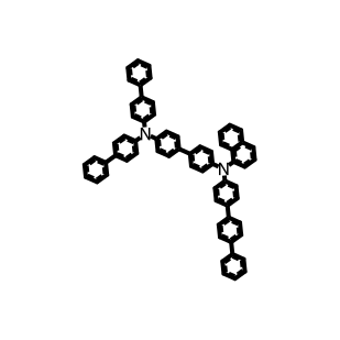 c1ccc(-c2ccc(-c3ccc(N(c4ccc(-c5ccc(N(c6ccc(-c7ccccc7)cc6)c6ccc(-c7ccccc7)cc6)cc5)cc4)c4cccc5ccccc45)cc3)cc2)cc1